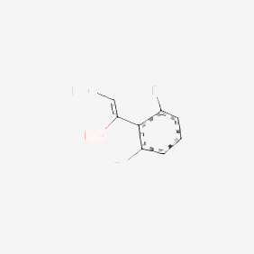 CC=C(O)c1c(F)cccc1Br